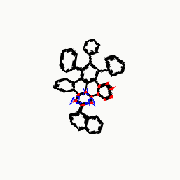 c1ccc(-c2nc(-c3ccccc3-c3c(-c4ccccc4)c(-c4ccccc4)c(-c4ccccc4)c(-c4ccccc4)c3-c3ccccc3)nc(-c3cccc4ccccc34)n2)cc1